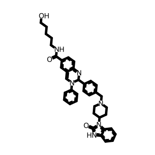 O=C(NCCCCCO)c1ccc2c(c1)=CN(c1ccccc1)C(c1ccc(CN3CCC(n4c(=O)[nH]c5ccccc54)CC3)cc1)N=2